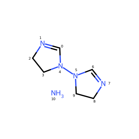 C1=NCCN1N1C=NCC1.N